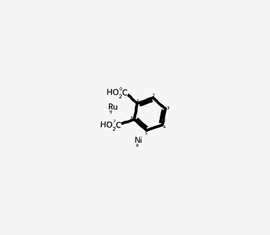 O=C(O)c1ccccc1C(=O)O.[Ni].[Ru]